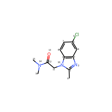 Cc1nc2cc(Cl)ccc2n1CC(=O)N(C)C